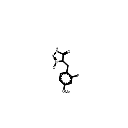 COc1ccc(CC2C(=O)NN=[N+]2[O-])c(F)c1